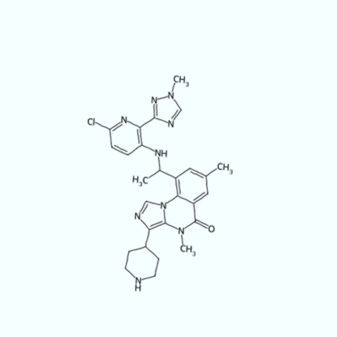 Cc1cc(C(C)Nc2ccc(Cl)nc2-c2ncn(C)n2)c2c(c1)c(=O)n(C)c1c(C3CCNCC3)ncn21